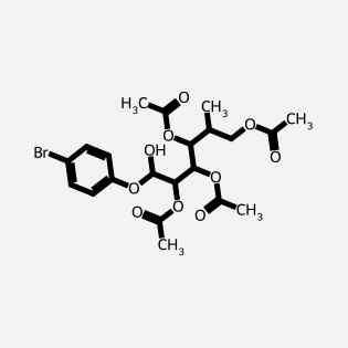 CC(=O)OCC(C)C(OC(C)=O)C(OC(C)=O)C(OC(C)=O)C(O)Oc1ccc(Br)cc1